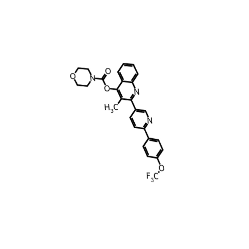 Cc1c(-c2ccc(-c3ccc(OC(F)(F)F)cc3)nc2)nc2ccccc2c1OC(=O)N1CCOCC1